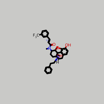 CN(C(=O)/C=C/c1cccc(C(F)(F)F)c1)C1CC[C@@]2(O)[C@H]3Cc4ccc(O)c5c4[C@@]2(CCN3CCc2ccccc2)C1(C)O5